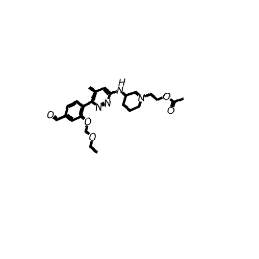 CCOCOc1cc(C=O)ccc1-c1nnc(NC2CCCN(CCOC(C)=O)C2)cc1C